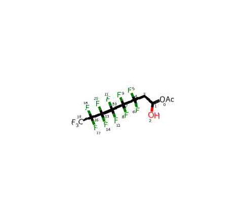 CC(=O)OC(O)CC(F)(F)C(F)(F)C(F)(F)C(F)(F)C(F)(F)C(F)(F)F